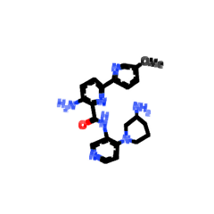 COc1ccc(-c2ccc(N)c(C(=O)Nc3cnccc3N3CCC[C@H](N)C3)n2)nc1